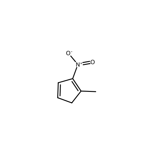 CC1=C([N+](=O)[O-])C=CC1